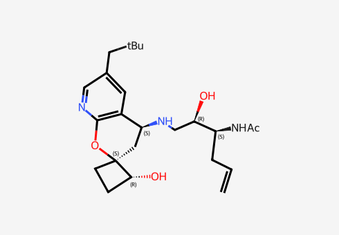 C=CC[C@H](NC(C)=O)[C@H](O)CN[C@H]1C[C@]2(CC[C@H]2O)Oc2ncc(CC(C)(C)C)cc21